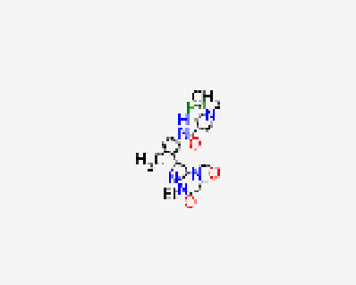 CCN1C(=O)CC2COCCN2c2cc(-c3cc(NC(=O)c4ccnc(C(C)(F)F)c4)ccc3C)cnc21